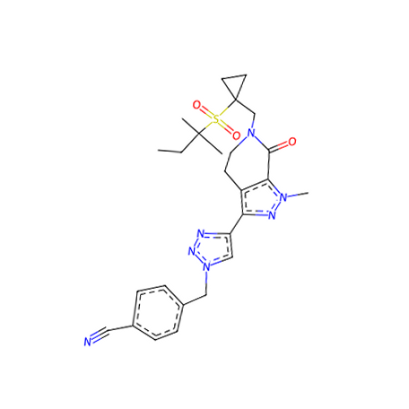 CCC(C)(C)S(=O)(=O)C1(CN2CCc3c(-c4cn(Cc5ccc(C#N)cc5)nn4)nn(C)c3C2=O)CC1